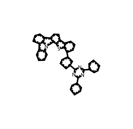 c1ccc(-c2nc(-c3ccccc3)nc(-c3cccc(-c4cccc5c4sc4c5ccc5c6cccc7c8ccccc8n(c76)c54)c3)n2)cc1